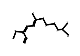 C=C/C(=C\C=C(/C)CCCCC(C)C)CC